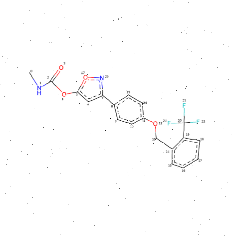 CNC(=O)Oc1cc(-c2ccc(OCc3ccccc3C(F)(F)F)cc2)no1